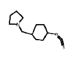 S=C=NC1CCC(CN2CCCC2)CC1